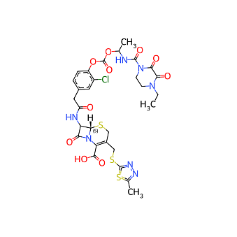 CCN1CCN(C(=O)NC(C)OC(=O)Oc2ccc(CC(=O)NC3C(=O)N4C(C(=O)O)=C(CSc5nnc(C)s5)CS[C@@H]34)cc2Cl)C(=O)C1=O